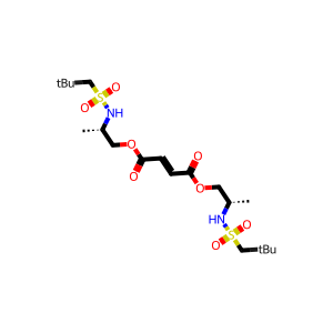 C[C@@H](COC(=O)/C=C/C(=O)OC[C@H](C)NS(=O)(=O)CC(C)(C)C)NS(=O)(=O)CC(C)(C)C